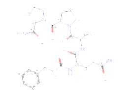 CCC(C)C(NC(=O)C(CCC(N)=O)NC(=O)OCc1ccccc1)C(=O)N1CCCC1C(=O)N1CCCC1C(N)=O